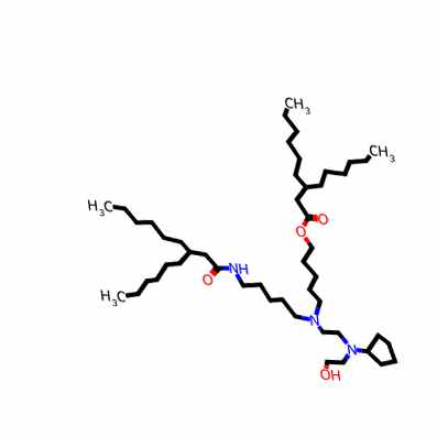 CCCCCCC(CCCCCC)CC(=O)NCCCCCN(CCCCCOC(=O)CC(CCCCCC)CCCCCC)CCN(CCO)C1CCCC1